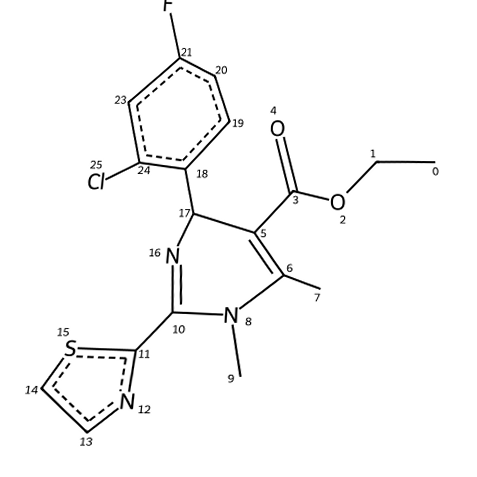 CCOC(=O)C1=C(C)N(C)C(c2nccs2)=NC1c1ccc(F)cc1Cl